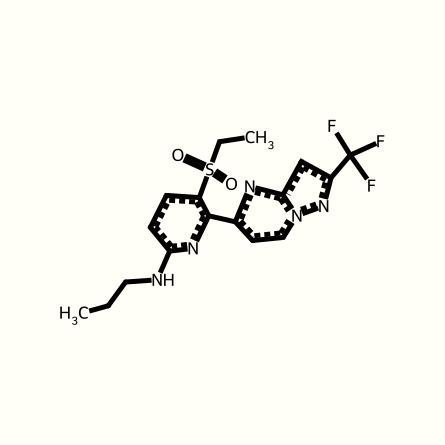 CCCNc1ccc(S(=O)(=O)CC)c(-c2ccn3nc(C(F)(F)F)cc3n2)n1